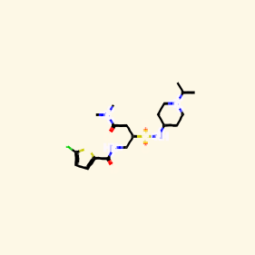 CC(C)N1CCC(NS(=O)(=O)C(CNC(=O)c2ccc(Cl)s2)CC(=O)N(C)C)CC1